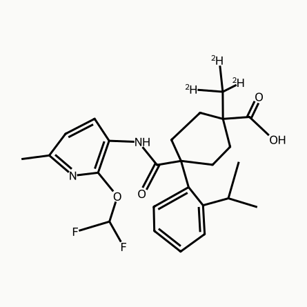 [2H]C([2H])([2H])C1(C(=O)O)CCC(C(=O)Nc2ccc(C)nc2OC(F)F)(c2ccccc2C(C)C)CC1